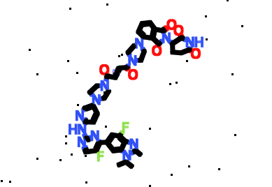 Cc1nc2c(F)cc(-c3nc(Nc4ccc(N5CCN(C(=O)/C=C/C(=O)N6CCN(c7cccc8c7C(=O)N(C7CCC(=O)NC7=O)C8=O)CC6)CC5)cn4)ncc3F)cc2n1C(C)C